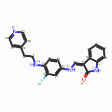 O=C1Nc2ccccc2C1=CNc1ccc(NCCc2ccncc2)c(F)c1